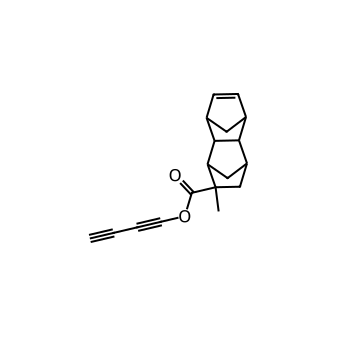 C#CC#COC(=O)C1(C)CC2CC1C1C3C=CC(C3)C21